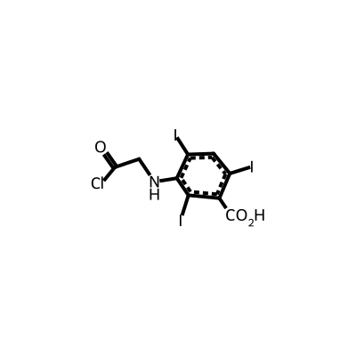 O=C(Cl)CNc1c(I)cc(I)c(C(=O)O)c1I